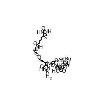 CC(C)(C)SSCOC1C[C@H](n2cc(C#CCOCSSC(C)(C)CNC(=O)CCCCC3SCC4NC(=O)NC43)c3c(=O)[nH]c(N)nc32)O[C@@H]1COP(=O)(O)OP(=O)(O)OP(=O)(O)O